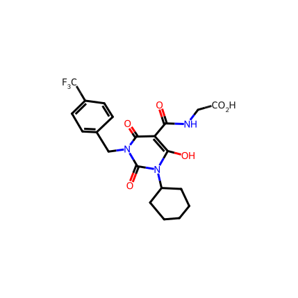 O=C(O)CNC(=O)c1c(O)n(C2CCCCC2)c(=O)n(Cc2ccc(C(F)(F)F)cc2)c1=O